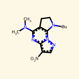 CCC(C)N1CCc2c(N(C)C)nc3c([N+](=O)[O-])cnn3c21